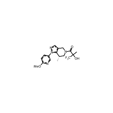 COc1ccc(-n2ncc3c2[C@@H](C)CN(C(=O)C(C)(O)C(F)(F)F)C3)cn1